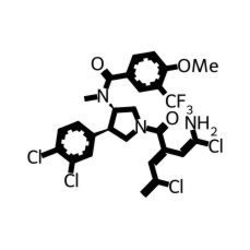 C=C(Cl)/C=C(\C=C(/N)Cl)C(=O)N1C[C@@H](N(C)C(=O)c2ccc(OC)c(C(F)(F)F)c2)[C@H](c2ccc(Cl)c(Cl)c2)C1